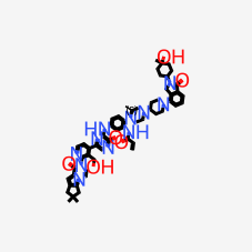 C=CC(=O)Nc1cc(Nc2nc(-c3ccnc(N4CCn5c(cc6c5CC(C)(C)C6)C4=O)c3CO)cn(C)c2=O)ccc1N1CCN(C2CCN(c3cccc4c3CN(C3CCC(C)(O)CC3)C4=O)CC2)C[C@@H]1C